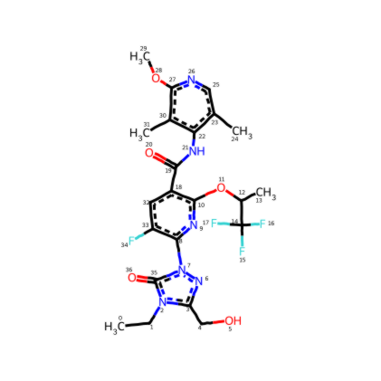 CCn1c(CO)nn(-c2nc(OC(C)C(F)(F)F)c(C(=O)Nc3c(C)cnc(OC)c3C)cc2F)c1=O